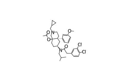 COc1cccc([C@@]23CCN(CC4CC4)C[C@@]2(OC(C)=O)CC[C@H](N(CC(C)C)C(=O)Cc2ccc(Cl)c(Cl)c2)C3)c1